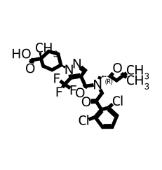 CC1(C)C[C@H](CN(CC(=O)c2c(Cl)cccc2Cl)C(=O)c2cnn([C@H]3CC[C@](C)(C(=O)O)CC3)c2C(F)(F)F)O1